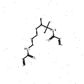 C=CC(=O)NCCCCC(C)C(C)(C)NC(=O)C=C